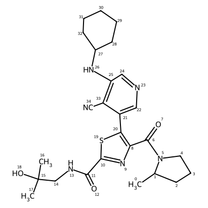 CC1CCCN1C(=O)c1nc(C(=O)NCC(C)(C)O)sc1-c1cncc(NC2CCCCC2)c1C#N